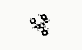 O=c1[nH]c2c(-c3ccccc3Cl)nc(-n3cnc4ccc(F)cc43)nc2n1C1CCOCC1